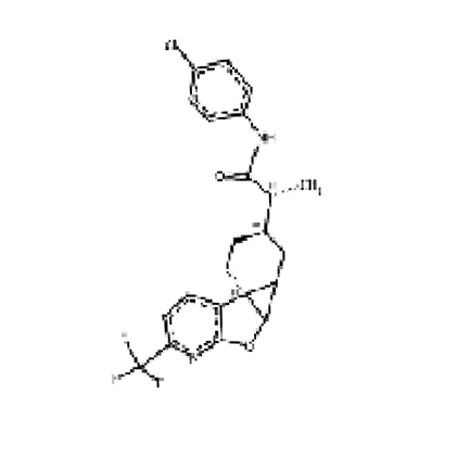 C[C@@H](C(=O)Nc1ccc(Cl)cc1)[C@@H]1CC[C@@]23c4ccc(C(F)(F)F)nc4OC2C3C1